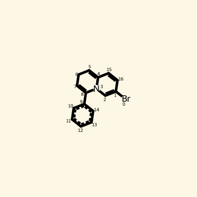 BrC1=CN2C(=CCC=C2c2ccccc2)C=C1